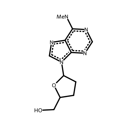 CNc1ncnc2c1ncn2C1CCC(CO)O1